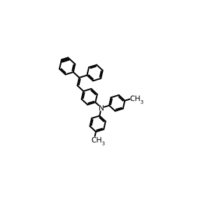 Cc1ccc(N(c2ccc(C)cc2)c2ccc(/C=C(/c3cc#ccc3)c3ccccc3)cc2)cc1